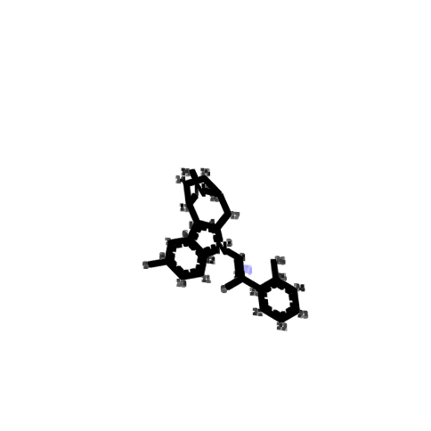 C/C(=C\n1c2c(c3cc(C)ccc31)C1CCC(C2)N1C)c1ccccc1C